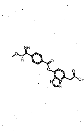 CONC(=N)c1ccc(C(=O)Oc2ccc(CC(=O)O)n3ncnc23)cc1